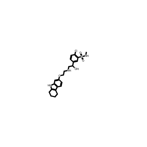 CNS(=O)(=O)c1cc(C(O)CNCCOc2ccc3c4c([nH]c3c2)CCCC4)ccc1Cl